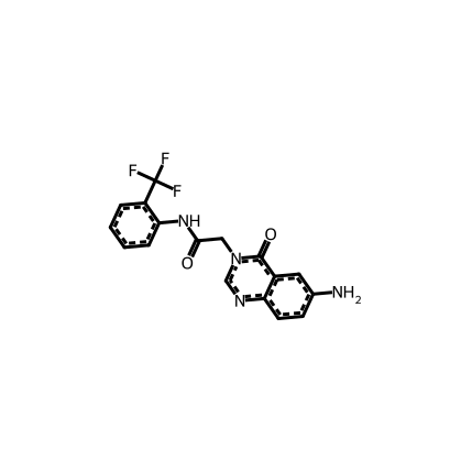 Nc1ccc2ncn(CC(=O)Nc3ccccc3C(F)(F)F)c(=O)c2c1